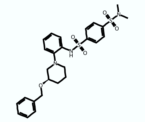 CN(C)S(=O)(=O)c1ccc(S(=O)(=O)Nc2ccccc2N2CCC[C@@H](OCc3ccccc3)C2)cc1